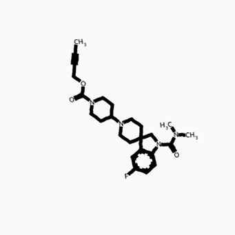 CC#CCOC(=O)N1CCC(N2CCC3(CC2)CN(C(=O)N(C)C)c2ccc(F)cc23)CC1